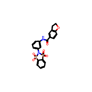 O=C(Nc1cccc(N2S(=O)(=O)c3ccccc3S2(=O)=O)c1)c1ccc2c(c1)CCO2